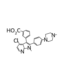 CN1CCN(c2ccc(-c3c(-c4cccc(C(=O)O)c4)c4c(Cl)ccnc4n3C)cc2)CC1